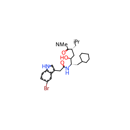 CNC(=O)[C@H](CC(C)C)C[C@H](O)[C@H](CC1CCCCC1)NC(=O)Cc1c[nH]c2ccc(Br)cc12